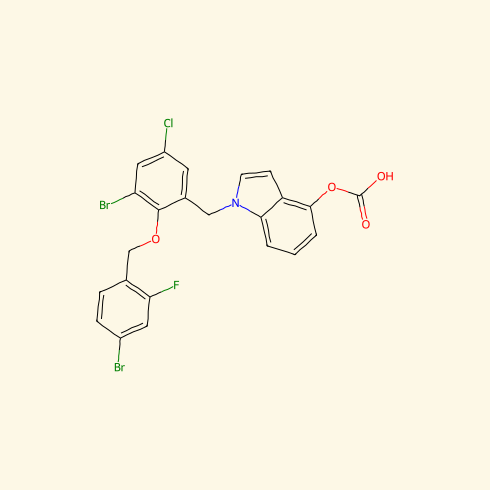 O=C(O)Oc1cccc2c1ccn2Cc1cc(Cl)cc(Br)c1OCc1ccc(Br)cc1F